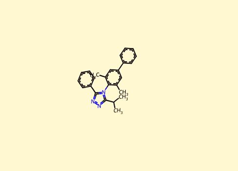 Cc1cc(-c2ccccc2)cc(C)c1-n1c(-c2ccccc2)nnc1C(C)C